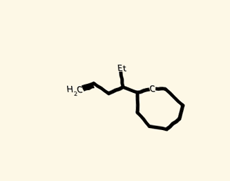 C=CCC(CC)C1CCCCCCC1